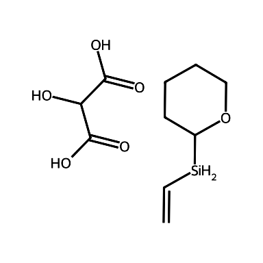 C=C[SiH2]C1CCCCO1.O=C(O)C(O)C(=O)O